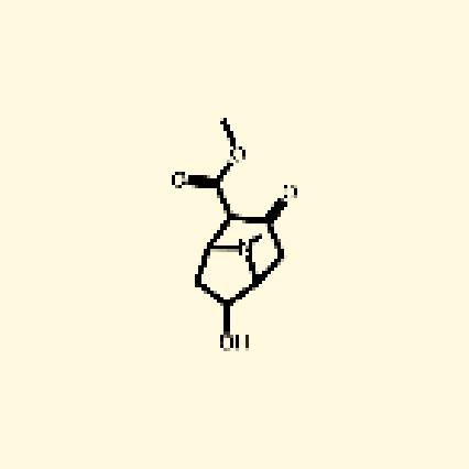 COC(=O)C1C(=O)CC2C(O)CC1N2C